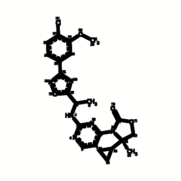 CC(Nc1nccc(N2C(=O)OC[C@]2(C)C2CC2)n1)c1nc(-c2ccc(Cl)c(OC(F)(F)F)c2)no1